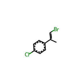 CC(=CBr)c1ccc(Cl)cc1